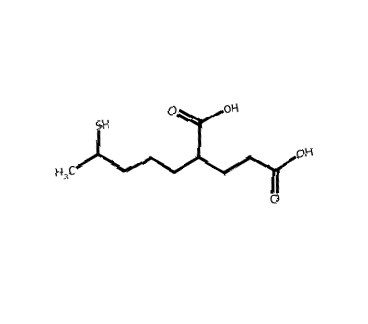 CC(S)CCCC(CCC(=O)O)C(=O)O